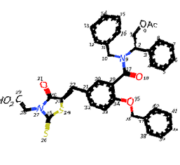 CC(=O)OC[C@@H](c1ccccc1)N(Cc1ccccc1)C(=O)c1cc(C=C2SC(=S)N(CC(=O)O)C2=O)ccc1OCc1ccccc1